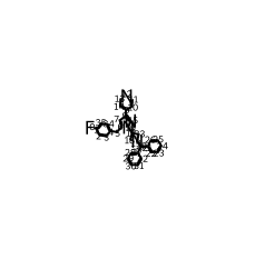 Fc1ccc(Cc2cc(-c3ccncc3)nn2C2CN(C(c3ccccc3)c3ccccc3)C2)cc1